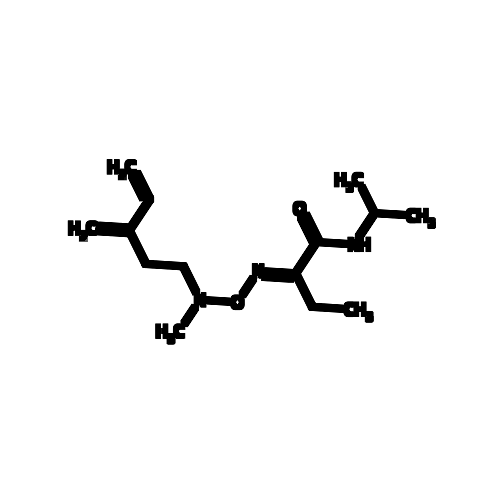 C=CC(=C)CCN(C)O/N=C(\CC)C(=O)NC(C)C